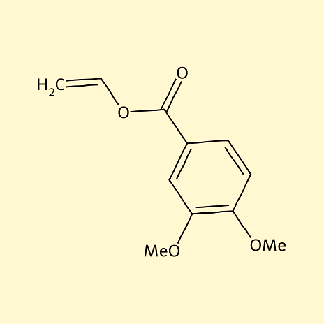 C=COC(=O)c1ccc(OC)c(OC)c1